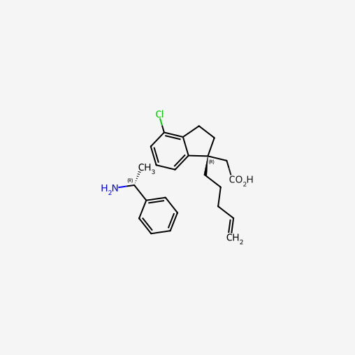 C=CCCC[C@]1(CC(=O)O)CCc2c(Cl)cccc21.C[C@@H](N)c1ccccc1